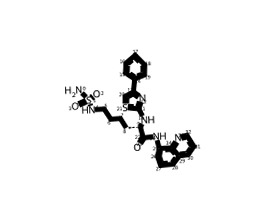 NS(=O)(=O)NCCCC[C@H](Nc1nc(-c2ccccc2)cs1)C(=O)Nc1cccc2cccnc12